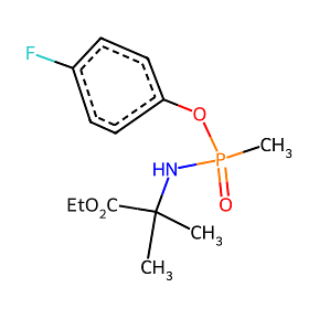 CCOC(=O)C(C)(C)NP(C)(=O)Oc1ccc(F)cc1